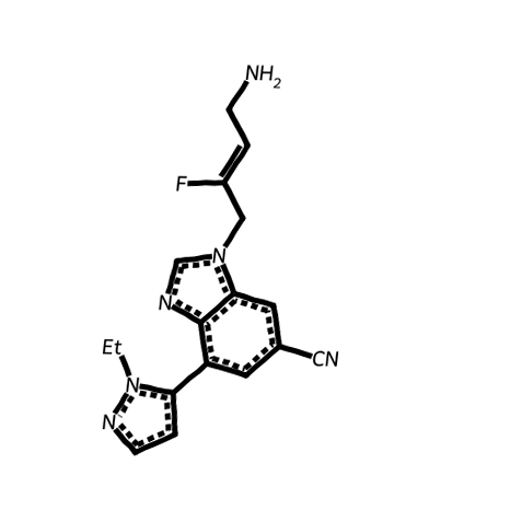 CCn1nccc1-c1cc(C#N)cc2c1ncn2CC(F)=CCN